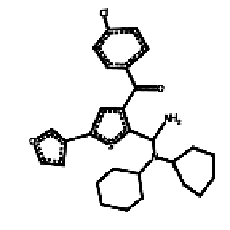 NC(c1sc(-c2ccoc2)cc1C(=O)c1ccc(Cl)cc1)N(C1CCCCC1)C1CCCCC1